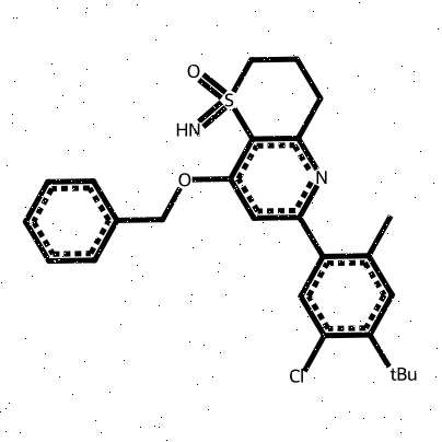 Cc1cc(C(C)(C)C)c(Cl)cc1-c1cc(OCc2ccccc2)c2c(n1)CCCS2(=N)=O